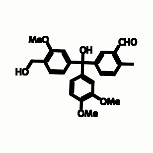 COc1cc(C(O)(c2ccc(C)c(C=O)c2)c2ccc(OC)c(OC)c2)ccc1CO